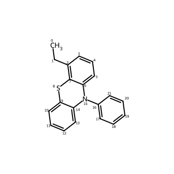 CCc1cccc2c1Sc1ccccc1N2c1ccccc1